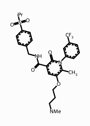 CNCCCOc1cc(C(=O)NCc2ccc(S(=O)(=O)C(C)C)cc2)c(=O)n(-c2cccc(C(F)(F)F)c2)c1C